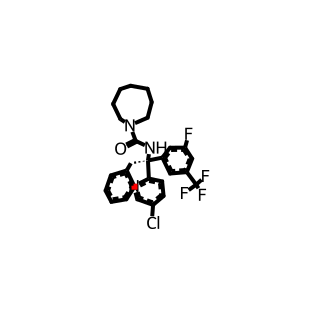 O=C(N[C@@](Cc1ccccc1)(c1cc(F)cc(C(F)(F)F)c1)c1ccc(Cl)cn1)N1CCCCCCC1